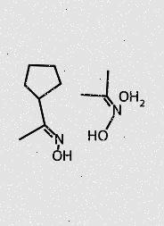 CC(=NO)C1CCCC1.CC(C)=NO.O